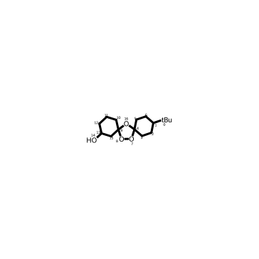 CC(C)(C)C1CCC2(CC1)OOC1(CCCC(O)C1)O2